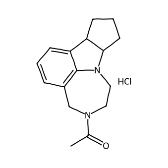 CC(=O)N1CCN2c3c(cccc3C3CCCC32)C1.Cl